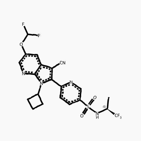 C[C@H](NS(=O)(=O)c1ccc(-c2c(C#N)c3cc(OC(F)F)cnc3n2C2CCC2)nc1)C(F)(F)F